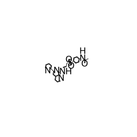 CC(=O)Nc1ccc(S(=O)(=O)CC=CNc2nc(-c3ccccn3)cc3cccnc23)cc1